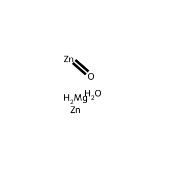 O.[MgH2].[O]=[Zn].[Zn]